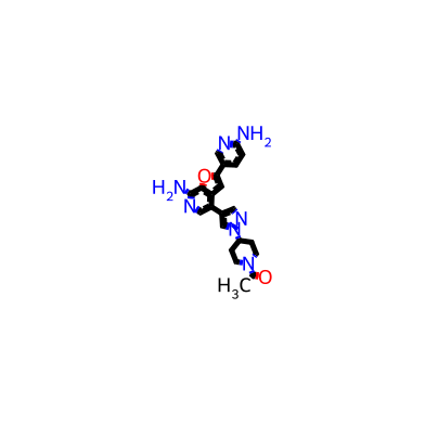 CC(=O)N1CCC(n2cc(-c3cnc(N)c4oc(-c5ccc(N)nc5)cc34)cn2)CC1